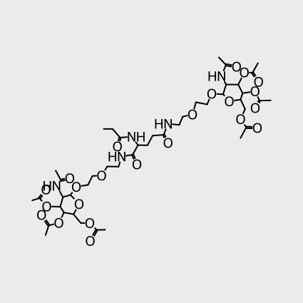 CCC(=O)NC(CCC(=O)NCCOCCOC1OC(COC(C)=O)C(OC(C)=O)C(OC(C)=O)C1NC(C)=O)C(=O)NCCOCCOC1OC(COC(C)=O)C(OC(C)=O)C(OC(C)=O)C1NC(C)=O